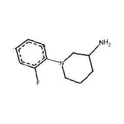 NC1CCCN(c2cc[c]cc2F)C1